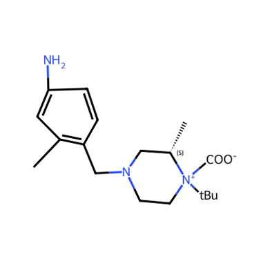 Cc1cc(N)ccc1CN1CC[N+](C(=O)[O-])(C(C)(C)C)[C@@H](C)C1